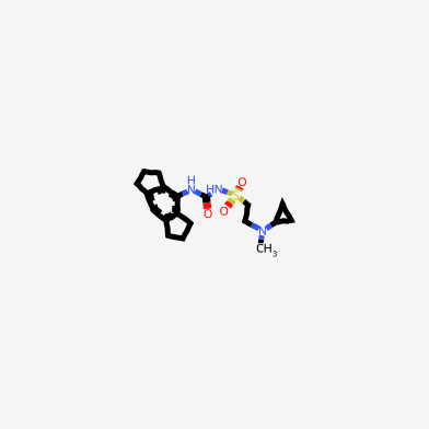 CN(CCS(=O)(=O)NC(=O)Nc1c2c(cc3c1CCC3)CCC2)C1CC1